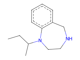 CCC(C)N1CCNCc2ccccc21